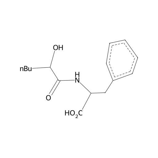 CCCCC(O)C(=O)NC(Cc1ccccc1)C(=O)O